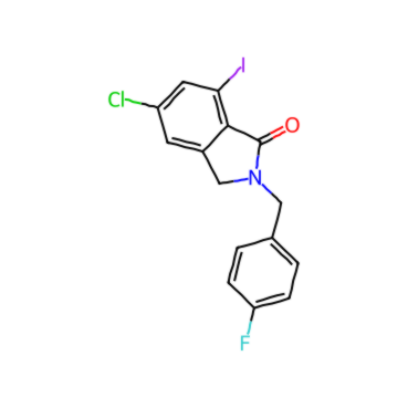 O=C1c2c(I)cc(Cl)cc2CN1Cc1ccc(F)cc1